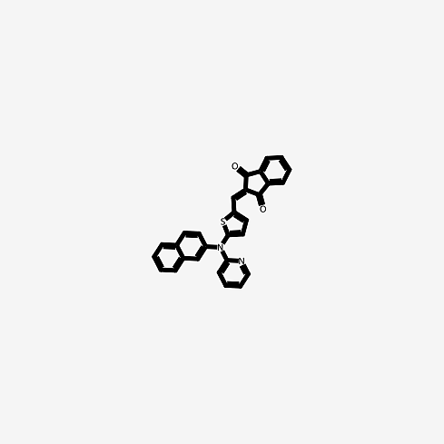 O=C1C(=Cc2ccc(N(c3ccc4ccccc4c3)c3ccccn3)s2)C(=O)c2ccccc21